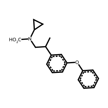 CC(CN(C(=O)O)C1CC1)c1cccc(Oc2ccccc2)c1